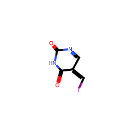 O=C1N=CC(=CI)C(=O)N1